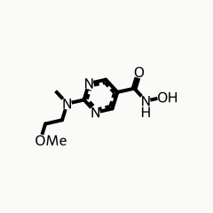 COCCN(C)c1ncc(C(=O)NO)cn1